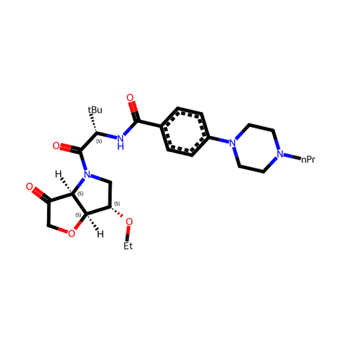 CCCN1CCN(c2ccc(C(=O)N[C@H](C(=O)N3C[C@H](OCC)[C@H]4OCC(=O)[C@H]43)C(C)(C)C)cc2)CC1